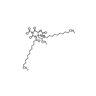 CCCCCCCCCCCC[S+]([O-])N1C(=O)N(P(=O)=O)C(=O)C2=NC(=O)NC21CC(C)OCCCCCCCCCC